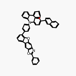 c1ccc(-c2nc3cc4oc5c(-c6ccc(N(c7ccc(-c8ccc9ccccc9c8)cc7)c7ccccc7-c7ccccc7)cc6)cccc5c4cc3o2)cc1